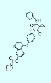 O=C(Oc1ccc2c(Oc3ccc(NC(=O)C4(C(=O)Nc5ccccc5)CC4)cc3)ccnc2c1)N1CCCC1